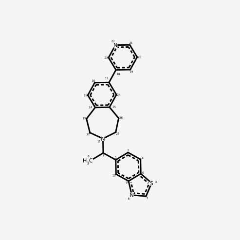 CC(c1ccc2scnc2c1)N1CCc2ccc(-c3cccnc3)cc2CC1